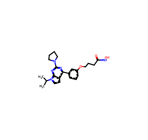 CC(C)n1ccc2c(-c3cccc(OCCCC(=O)NO)c3)nc(N3CCCC3)nc21